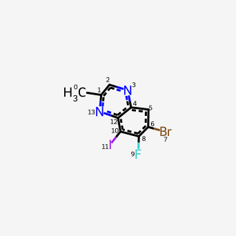 Cc1cnc2cc(Br)c(F)c(I)c2n1